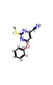 CSc1nc(C#N)cc(Oc2cc[c]cc2)n1